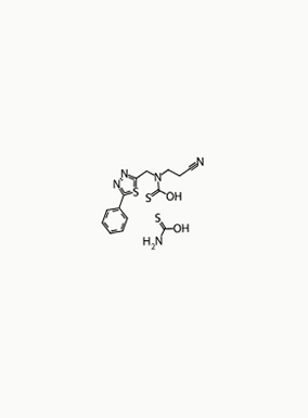 N#CCCN(Cc1nnc(-c2ccccc2)s1)C(O)=S.NC(O)=S